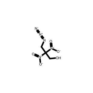 [N-]=[N+]=NCC(CO)([N+](=O)[O-])[N+](=O)[O-]